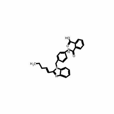 CCC/C=C/c1nc2ccccc2n1Cc1ccc(NC(=O)c2ccccc2C(=O)O)cc1